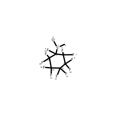 C[S+]([O-])C1(F)C(F)(F)C(F)(F)C(F)(F)C(F)(F)C1(F)F